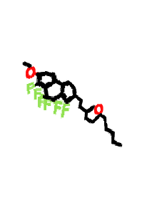 CCCCCC1CCC(CCc2ccc3c(c2F)C(F)(F)C(F)(F)c2c-3ccc(OCC)c2F)=CO1